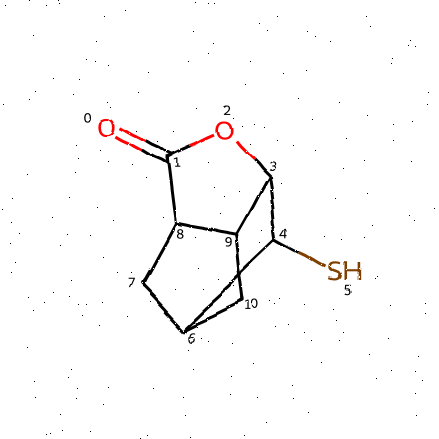 O=C1OC2C(S)C3CC1C2C3